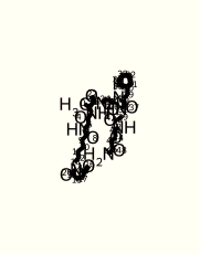 CC(NC(=O)CNC(=O)CCCCCN1C(=O)C=CC1=O)C(=O)NCC(=O)NC(Cc1ccccc1)C(=O)NCC(=O)NCOCC(N)=O